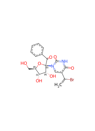 C=C(Br)c1cn([C@]2(C(=O)c3ccccc3)O[C@H](CO)[C@@H](O)[C@H]2O)c(=O)[nH]c1=O